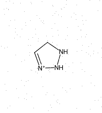 C1=[N+]NNC1